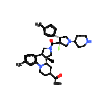 COC(=O)C1CCN2c3cc(C(F)(F)F)ccc3C3CN(C(=O)[C@]4(F)CN(C5CCNCC5)C[C@H]4c4ccc(C)cc4)C[C@@H]3C2C1